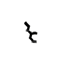 C=COC(Br)CO